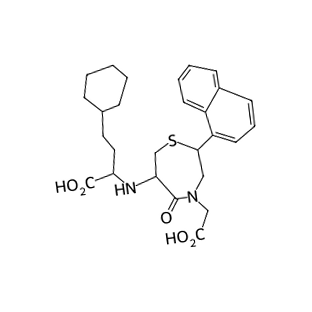 O=C(O)CN1CC(c2cccc3ccccc23)SCC(NC(CCC2CCCCC2)C(=O)O)C1=O